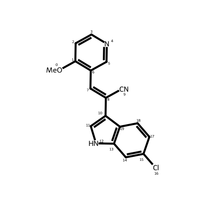 COc1ccncc1/C=C(\C#N)c1c[nH]c2cc(Cl)ccc12